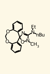 CCCCN(CC)C1=NC2(ON1C)c1ccccc1OCOc1ccccc12